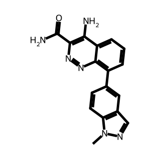 Cn1ncc2cc(-c3cccc4c(N)c(C(N)=O)nnc34)ccc21